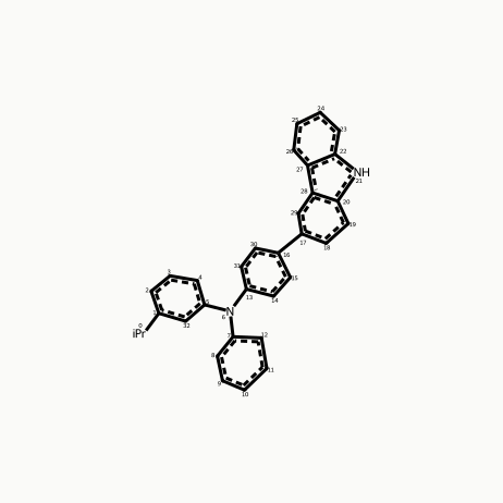 CC(C)c1cccc(N(c2ccccc2)c2ccc(-c3ccc4[nH]c5ccccc5c4c3)cc2)c1